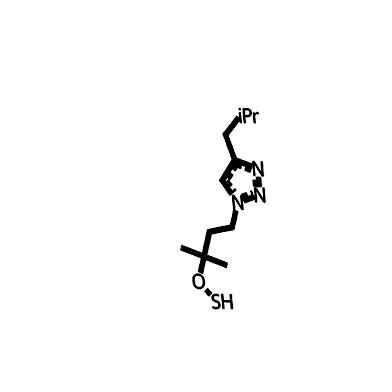 CC(C)Cc1cn(CCC(C)(C)OS)nn1